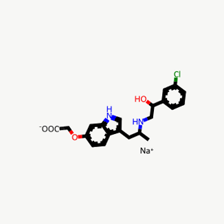 CC(Cc1c[nH]c2cc(OCC(=O)[O-])ccc12)NCC(O)c1cccc(Cl)c1.[Na+]